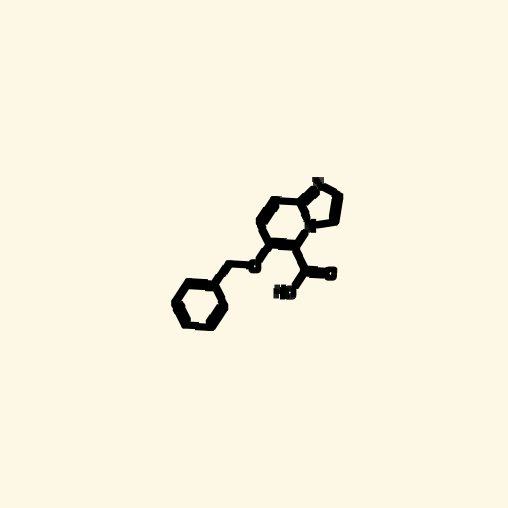 O=C(O)c1c(OCc2ccccc2)ccc2nccn12